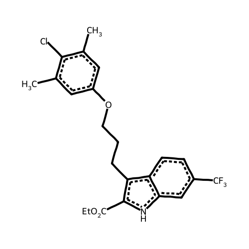 CCOC(=O)c1[nH]c2cc(C(F)(F)F)ccc2c1CCCOc1cc(C)c(Cl)c(C)c1